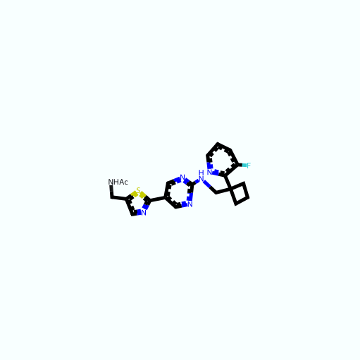 CC(=O)NCc1cnc(-c2cnc(NCC3(c4ncccc4F)CCC3)nc2)s1